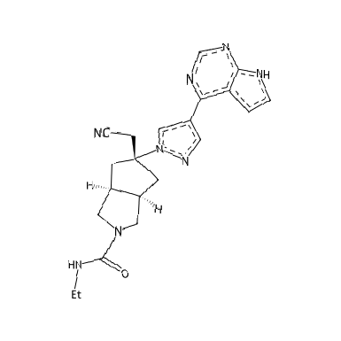 CCNC(=O)N1C[C@@H]2C[C@@](CC#N)(n3cc(-c4ncnc5[nH]ccc45)cn3)C[C@@H]2C1